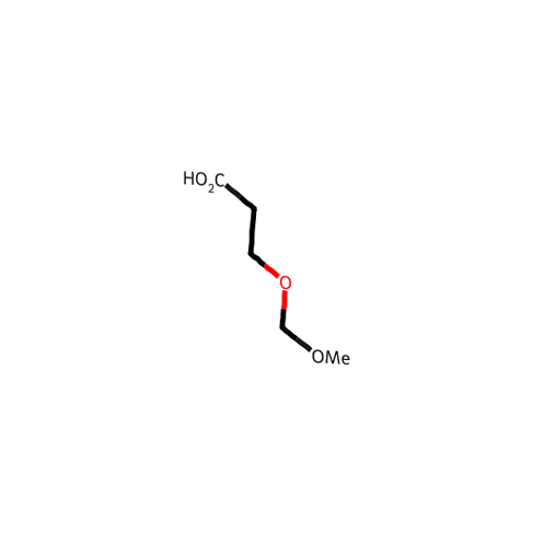 COCOCCC(=O)O